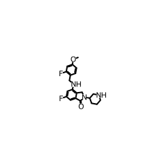 COc1ccc(CNc2cc(F)cc3c2CN(C2CCCNC2)C3=O)c(F)c1